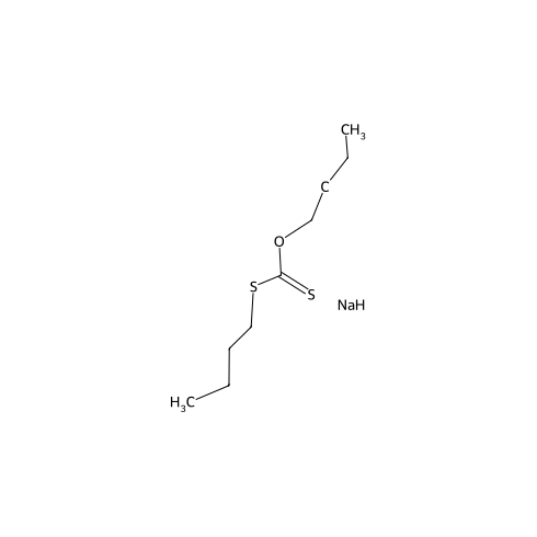 CCCCOC(=S)SCCCC.[NaH]